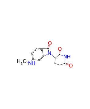 CNc1ccc2c(c1)N(C1CCC(=O)NC1=O)C2=O